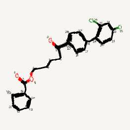 O=C(CCCCOC(=O)c1ccccc1)c1ccc(-c2ccc(Cl)cc2Cl)cc1